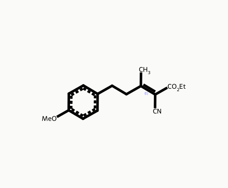 CCOC(=O)/C(C#N)=C(\C)CCc1ccc(OC)cc1